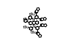 CC(C)(C)c1cc(N(c2cc(C3CC4CC3C3CCCC43)cc(C3CC4CC3C3CCCC43)c2)c2c3ccccc3c(N(c3cc(C4CC5CC4C4CCCC54)cc(C4CC5CC4C4CCCC54)c3)c3cc(C(C)(C)C)cc(C(C)(C)C)c3)c3cc(-c4ccccc4)ccc23)cc(C(C)(C)C)c1